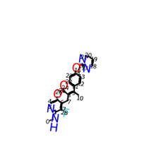 CNc1nccc(Cc2c(C)c3ccc(Oc4ncccn4)cc3oc2=O)c1F